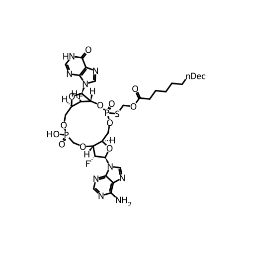 CCCCCCCCCCCCCCCC(=O)OCSP1(=O)OC[C@H]2O[C@@H](n3cnc4c(N)ncnc43)[C@H](F)[C@@H]2OCP(=O)(O)OC[C@H]2O[C@@H](n3cnc4c(=O)[nH]cnc43)[C@H](O1)[C@@H]2F